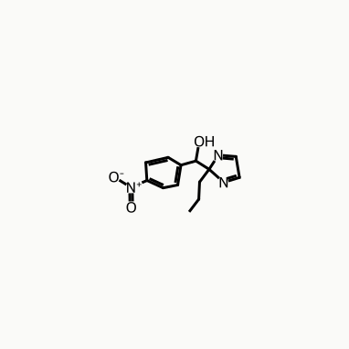 CCCC1(C(O)c2ccc([N+](=O)[O-])cc2)N=CC=N1